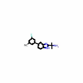 CC(C)(N)c1nc2cc(-c3cc(F)cc(C#N)c3)ccc2[nH]1